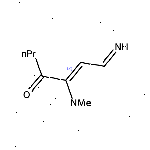 CCCC(=O)/C(=C/C=N)NC